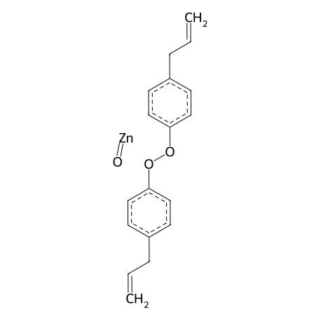 C=CCc1ccc(OOc2ccc(CC=C)cc2)cc1.[O]=[Zn]